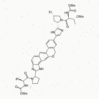 CC[C@H]1C[C@@H](c2ncc(-c3ccc4c(c3)COc3cc5c(ccc6nc(C7CC[C@H](C)N7C(=O)[C@@H](NC(=O)OC)C(C)C)[nH]c65)cc3-4)[nH]2)N(C(=O)[C@@H](NC(=O)OC)[C@@H](C)OC)C1